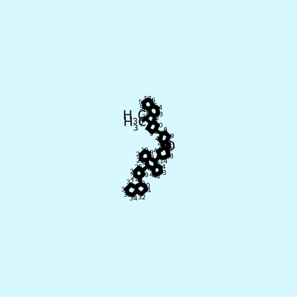 CC1(C)c2ccc(-c3ccc4oc5ccc(-c6c7ccccc7c(-c7cccc(-c8cccc9ccccc89)c7)c7ccccc67)cc5c4c3)cc2-c2ccc3ccccc3c21